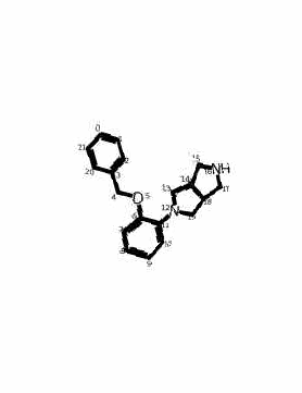 c1ccc(COc2ccccc2N2CC3CNCC3C2)cc1